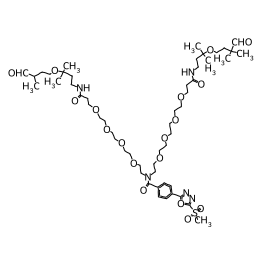 CC(C=O)CCOC(C)(C)CCNC(=O)CCOCCOCCOCCOCCN(CCOCCOCCOCCOCCC(=O)NCCC(C)(C)OCCC(C)(C)C=O)C(=O)c1ccc(-c2nnc(S(C)(=O)=O)o2)cc1